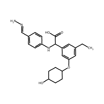 CCc1cc(OC2CCC(O)CC2)cc(C(Nc2ccc(C=NN)cc2)C(=O)O)c1